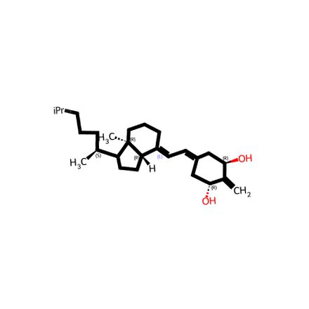 C=C1[C@H](O)CC(=C/C=C2\CCC[C@]3(C)C([C@@H](C)CCCC(C)C)CC[C@@H]23)C[C@H]1O